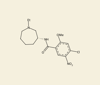 CCN1CCCC[C@@H](NC(=O)c2cc([N+](=O)[O-])c(Cl)cc2OC)C1